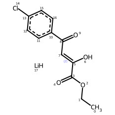 CCOC(=O)/C(O)=C/C(=O)c1ccc(Cl)cc1.[LiH]